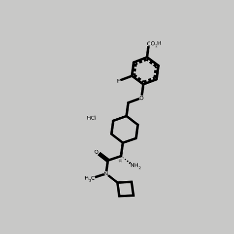 CN(C(=O)[C@@H](N)C1CCC(COc2ccc(C(=O)O)cc2F)CC1)C1CCC1.Cl